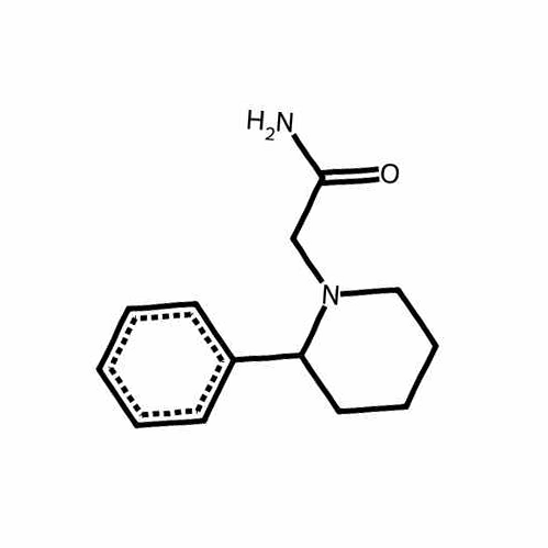 NC(=O)CN1CCCCC1c1ccccc1